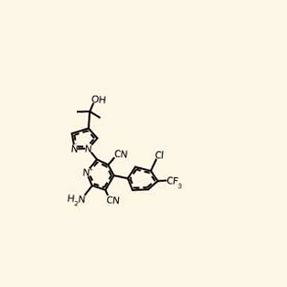 CC(C)(O)c1cnn(-c2nc(N)c(C#N)c(-c3ccc(C(F)(F)F)c(Cl)c3)c2C#N)c1